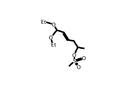 CCOC(C=CCC(C)OS(C)(=O)=O)OCC